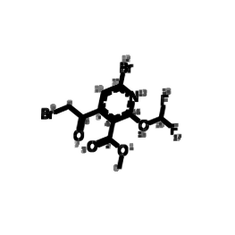 COC(=O)c1c(C(=O)CBr)cc(Br)nc1OC(F)F